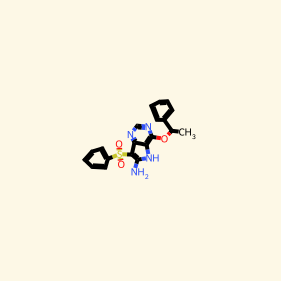 CC(Oc1ncnc2c(S(=O)(=O)c3ccccc3)c(N)[nH]c12)c1ccccc1